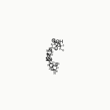 CCC(C)OC(=O)C(CCCN1CCN(c2nc(-c3ccc4c(c3)C(C)(C)CCC4(C)C)cs2)CC1)C(=O)O